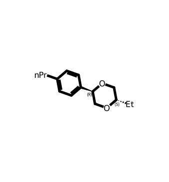 CCCc1ccc([C@@H]2CO[C@@H](CC)CO2)cc1